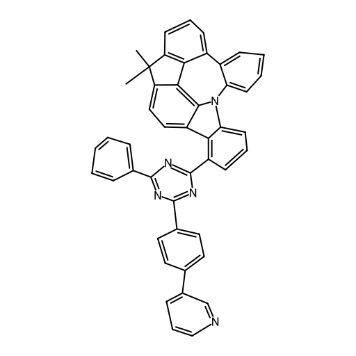 CC1(C)c2cccc3c2-c2c1ccc1c4c(-c5nc(-c6ccccc6)nc(-c6ccc(-c7cccnc7)cc6)n5)cccc4n(c21)-c1ccccc1-3